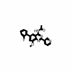 COc1cc(-c2ccccc2F)cc2c(NC(C)=O)nc(-c3cccnc3)nc12